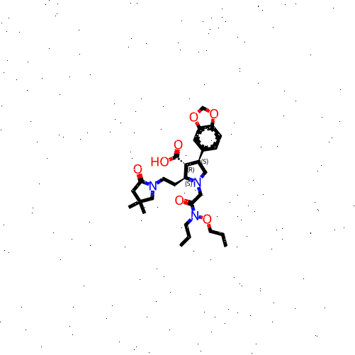 CCCON(CCC)C(=O)CN1C[C@H](c2ccc3c(c2)OCO3)[C@@H](C(=O)O)[C@@H]1CCN1CC(C)(C)CC1=O